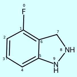 Fc1c[c]cc2c1CNN2